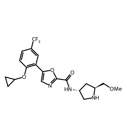 COC[C@@H]1C[C@@H](NC(=O)c2ncc(-c3cc(C(F)(F)F)ccc3OC3CC3)o2)CN1